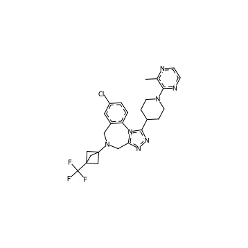 Cc1nccnc1N1CCC(c2nnc3n2-c2ccc(Cl)cc2CN(C24CC(C(F)(F)F)(C2)C4)C3)CC1